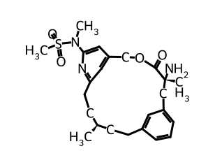 C[C@@H]1CCc2cccc(c2)C[C@@](C)(N)C(=O)OCc2cc(nc(N(C)S(C)(=O)=O)c2)CC1